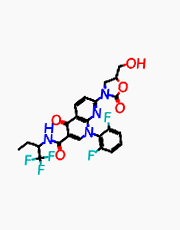 CCC(NC(=O)c1cn(-c2c(F)cccc2F)c2nc(N3CC(CO)OC3=O)ccc2c1=O)C(F)(F)F